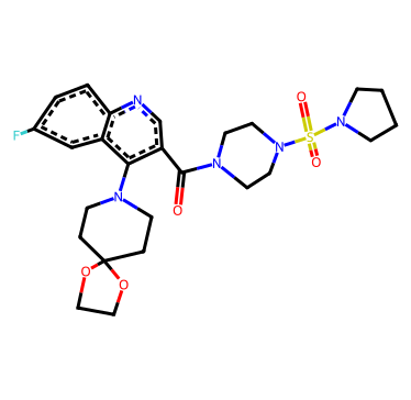 O=C(c1cnc2ccc(F)cc2c1N1CCC2(CC1)OCCO2)N1CCN(S(=O)(=O)N2CCCC2)CC1